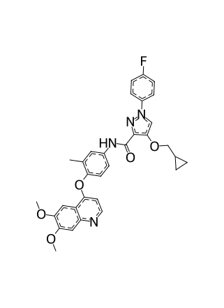 COc1cc2nccc(Oc3ccc(NC(=O)c4nn(-c5ccc(F)cc5)cc4OCC4CC4)cc3C)c2cc1OC